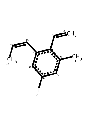 C=Cc1c(C)cc(I)cc1/C=C\C